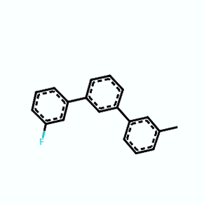 Cc1cccc(-c2cccc(-c3cccc(F)c3)c2)c1